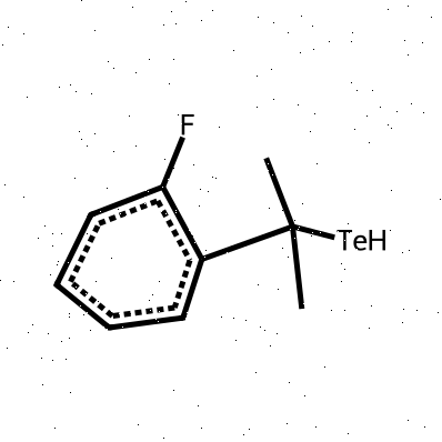 CC(C)([TeH])c1ccccc1F